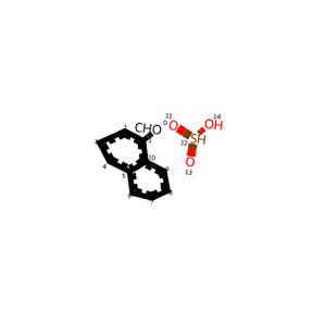 O=Cc1cccc2ccccc12.O=[SH](=O)O